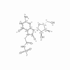 CS(=O)(=O)NC(=O)Cn1c(=O)n([C@@H]2O[C@H](CO)[C@@H](F)[C@H]2O)c2nc(N)[nH]c(=O)c21